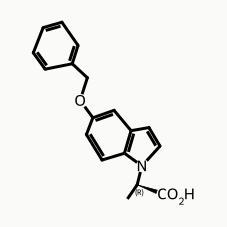 C[C@H](C(=O)O)n1ccc2cc(OCc3ccccc3)ccc21